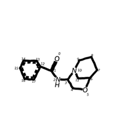 O=C(NC1COC2CCCN1C2)c1ccccc1